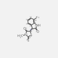 CN1C(=O)/C(=C2/C(=O)Nc3c(F)cccc32)SC1=S